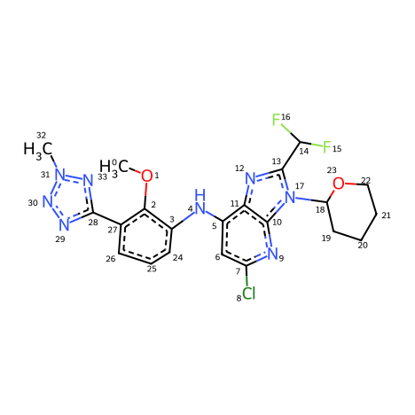 COc1c(Nc2cc(Cl)nc3c2nc(C(F)F)n3C2CCCCO2)cccc1-c1nnn(C)n1